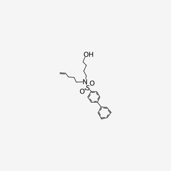 C=CCCCN(CCCCO)S(=O)(=O)c1ccc(-c2ccccc2)cc1